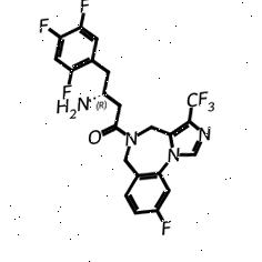 N[C@@H](CC(=O)N1Cc2ccc(F)cc2-n2cnc(C(F)(F)F)c2C1)Cc1cc(F)c(F)cc1F